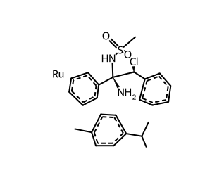 CS(=O)(=O)N[C@@](N)(c1ccccc1)[C@@H](Cl)c1ccccc1.Cc1ccc(C(C)C)cc1.[Ru]